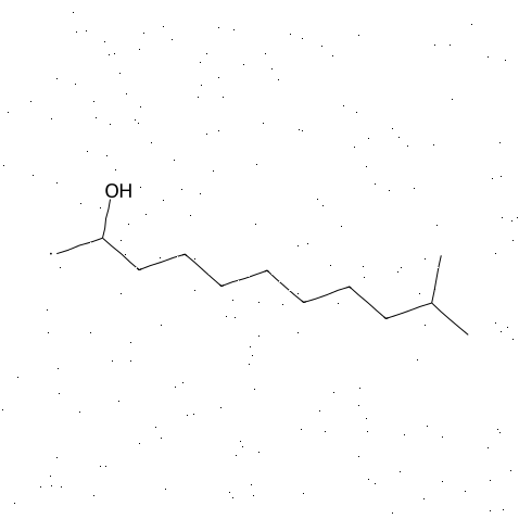 [CH2]C(O)CCCCCCCC(C)C